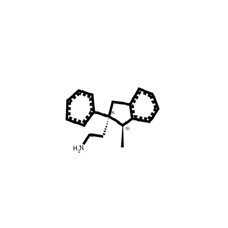 C[C@@H]1c2ccccc2C[C@]1(CCN)c1ccccc1